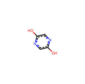 Oc1[c]nc(O)cn1